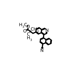 COC(=O)C(C)(C)Cc1ccc2cncc(-c3ccc(C#N)c4ccccc34)c2c1